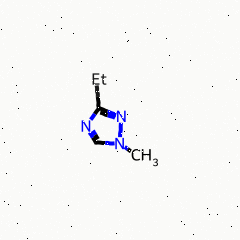 CCc1ncn(C)n1